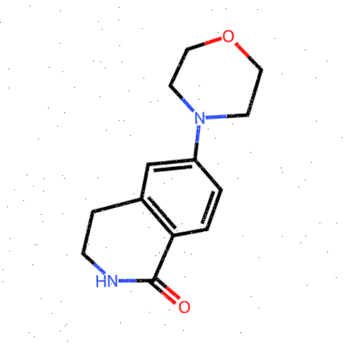 O=C1NCCc2cc(N3CCOCC3)ccc21